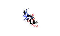 Cc1nc2c(c(=O)n(CC3CCC(O)CO3)c(=O)n2C)n1C